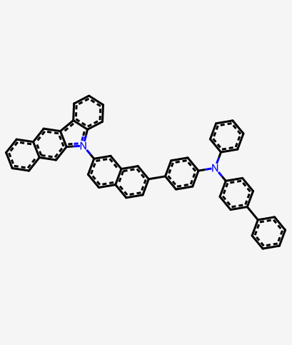 c1ccc(-c2ccc(N(c3ccccc3)c3ccc(-c4ccc5ccc(-n6c7ccccc7c7cc8ccccc8cc76)cc5c4)cc3)cc2)cc1